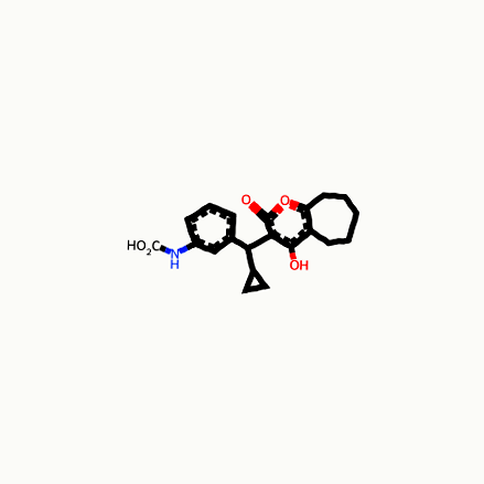 O=C(O)Nc1cccc(C(c2c(O)c3c(oc2=O)CCCCC3)C2CC2)c1